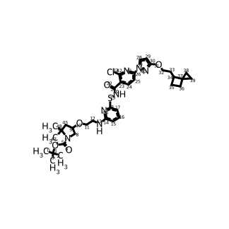 CC(C)(C)OC(=O)N1CC(OCCNc2cccc(SNC(=O)c3ccc(-n4ccc(OCCC5CCC56CC6)n4)nc3Cl)n2)CC1(C)C